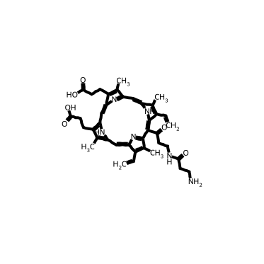 C=CC1=C(C)c2nc1cc1[nH]c(cc3nc(cc4[nH]c(c(C=C)c4C)c2C(=O)CCNC(=O)CCN)C(C)=C3CCC(=O)O)c(CCC(=O)O)c1C